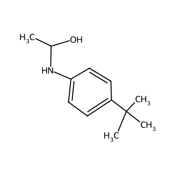 CC(O)Nc1ccc(C(C)(C)C)cc1